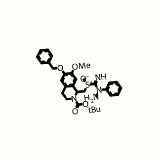 COc1cc2c(cc1OCc1ccccc1)CCN(C(=O)OC(C)(C)C)C2C[S+]([O-])C(=N)N(N)c1ccccc1